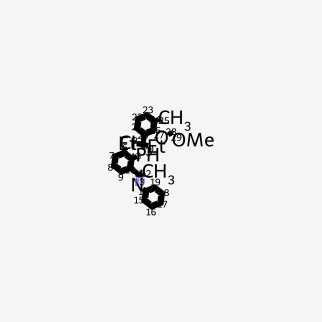 CCC(CC)(Pc1c(C)cccc1/C(C)=N/c1ccccc1)c1cccc(C)c1OCOC